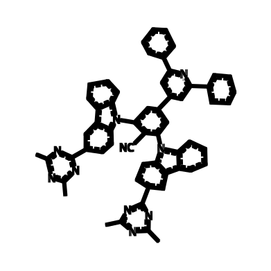 Cc1nc(C)nc(-c2ccc3c(c2)c2ccccc2n3-c2cc(-c3cc(-c4ccccc4)nc(-c4ccccc4)c3)cc(-n3c4ccccc4c4cc(-c5nc(C)nc(C)n5)ccc43)c2C#N)n1